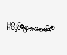 C=C(COCCOCCOCCOCCOC(=O)c1ccc(C(=O)O)c(C(=O)O)c1)C(=O)C1CO1